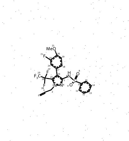 C=CCn1nc(NS(=O)(=O)c2ccccc2)c(-c2ccc(OC)c(F)c2)c1C(F)(F)C(F)(F)F